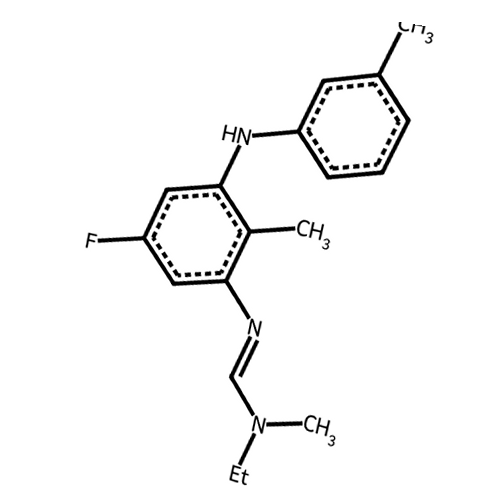 CCN(C)C=Nc1cc(F)cc(Nc2cccc(C)c2)c1C